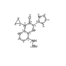 CC(C)(C)Nc1ccnc2c1nc(-c1nccs1)c(=O)n2C1CC1